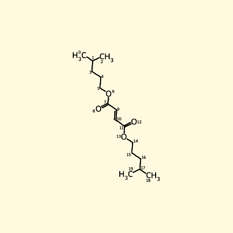 CC(C)CCCOC(=O)/C=C/C(=O)OCCCC(C)C